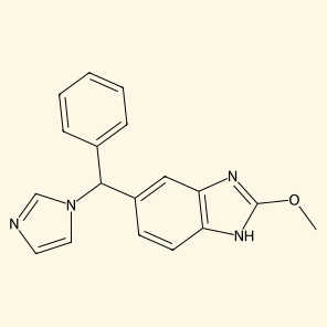 COc1nc2cc(C(c3ccccc3)n3ccnc3)ccc2[nH]1